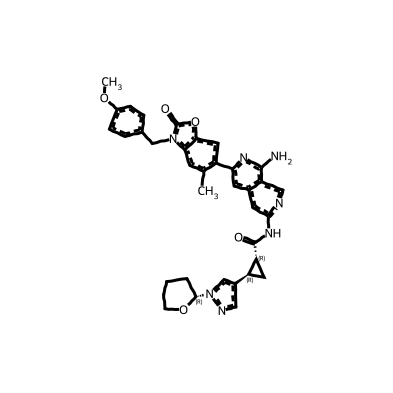 COc1ccc(Cn2c(=O)oc3cc(-c4cc5cc(NC(=O)[C@@H]6C[C@H]6c6cnn([C@H]7CCCCO7)c6)ncc5c(N)n4)c(C)cc32)cc1